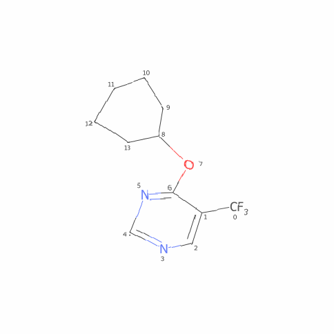 FC(F)(F)c1cn[c]nc1OC1CCCCC1